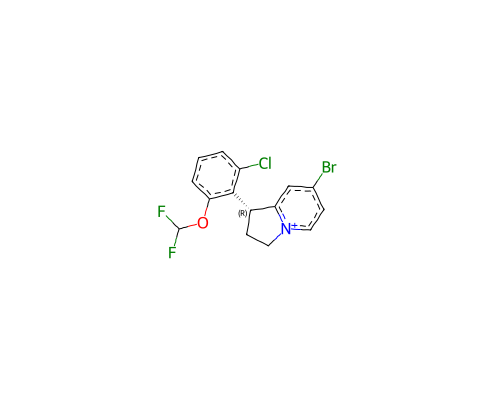 FC(F)Oc1cccc(Cl)c1[C@H]1CC[n+]2ccc(Br)cc21